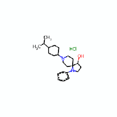 CC(C)C1CCC(N2CCC3(CC2)C(O)CCN3c2ccccc2)CC1.Cl